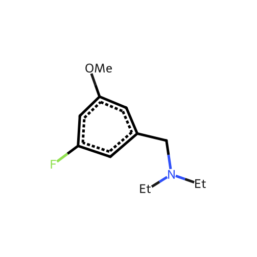 CCN(CC)Cc1cc(F)cc(OC)c1